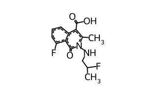 Cc1c(C(=O)O)c2cccc(F)c2c(=O)n1NCC(C)F